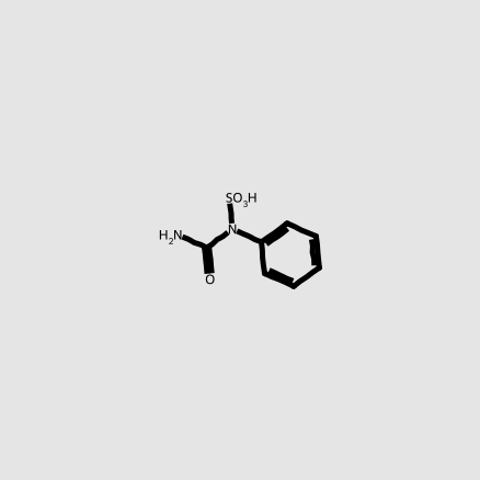 NC(=O)N(c1ccccc1)S(=O)(=O)O